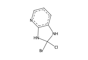 ClC1(Br)Nc2cccnc2N1